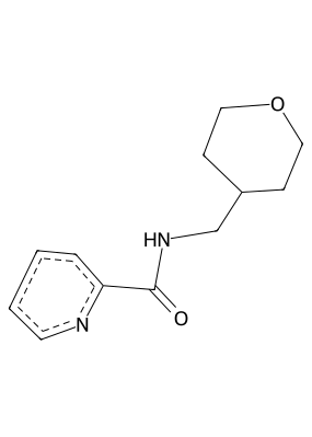 O=C(NCC1CCOCC1)c1ccccn1